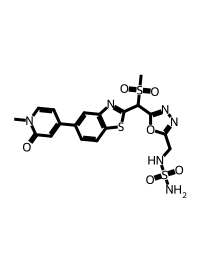 Cn1ccc(-c2ccc3sc(C(c4nnc(CNS(N)(=O)=O)o4)S(C)(=O)=O)nc3c2)cc1=O